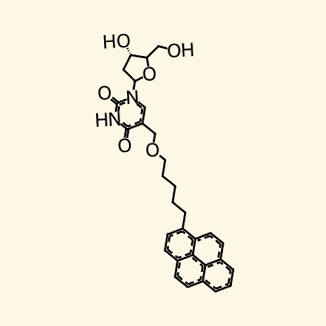 O=c1[nH]c(=O)n(C2C[C@H](O)C(CO)O2)cc1COCCCCCc1ccc2ccc3cccc4ccc1c2c34